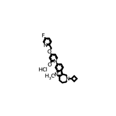 Cl.Cn1c2c(c3ccc(-n4ccc(OCc5ccc(F)cn5)cc4=O)cc31)CN(C1CCC1)CCC2